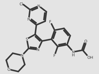 O=C(O)Nc1ccc(F)c(-c2nc(N3CCOCC3)sc2-c2ccnc(Cl)n2)c1F